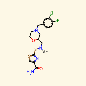 CC(=O)N(C[C@@H]1CN(Cc2ccc(F)c(Cl)c2)CCO1)Sc1nc(C(N)=O)cs1